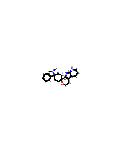 CN(C)C1(c2ccccc2)CCC2(CC1)OCCc1c2[nH]c2ncccc12